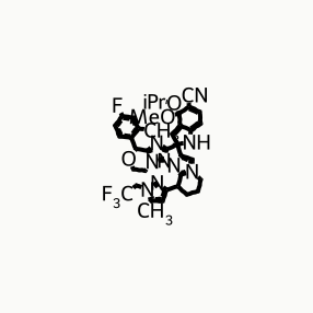 COC1(OC(C)C)C(C#N)=CC=C2NC(c3cn4c(n3)C(c3cc(C)n(CC(F)(F)F)n3)CCC4)(c3nc4n(n3)CCOC4c3ccc(F)cc3C)C=C21